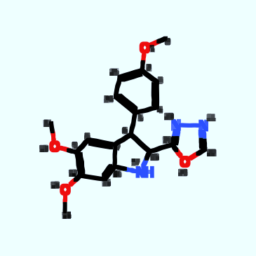 COc1ccc(C2c3cc(OC)c(OC)cc3NC2c2nnco2)cc1